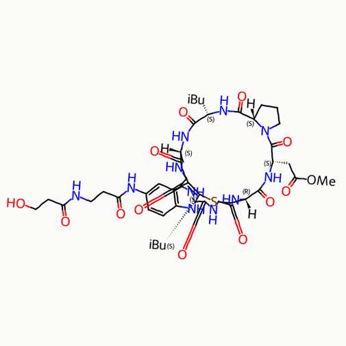 CCC(C)[C@@H]1NC(=O)[C@@H]2CCCN2C(=O)[C@H](CC(=O)OC)NC(=O)[C@@H]2CSc3[nH]c4ccc(NC(=O)CCNC(=O)CCO)cc4c3C[C@H](NC1=O)C(=O)NCC(=O)N[C@@H]([C@@H](C)CC)C(=O)NCC(=O)N2